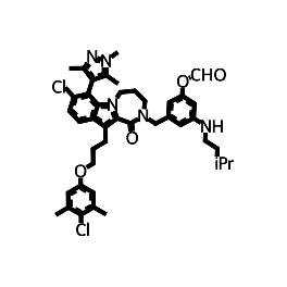 Cc1cc(OCCCc2c3n(c4c(-c5c(C)nn(C)c5C)c(Cl)ccc24)CCCN(Cc2cc(NCCC(C)C)cc(OC=O)c2)C3=O)cc(C)c1Cl